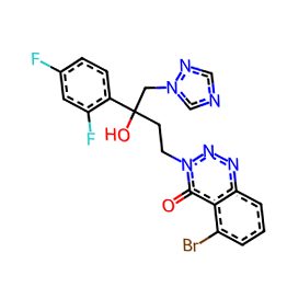 O=c1c2c(Br)cccc2nnn1CCC(O)(Cn1cncn1)c1ccc(F)cc1F